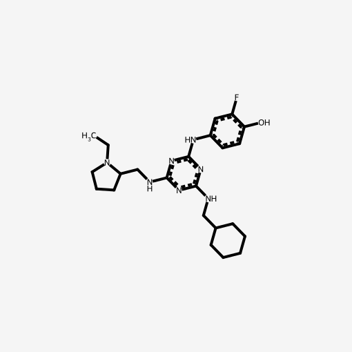 CCN1CCCC1CNc1nc(NCC2CCCCC2)nc(Nc2ccc(O)c(F)c2)n1